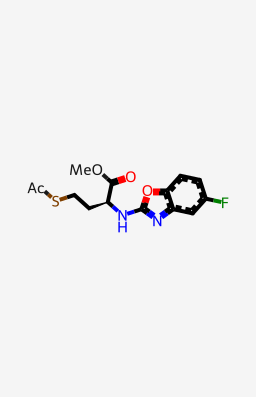 COC(=O)[C@H](CCSC(C)=O)Nc1nc2cc(F)ccc2o1